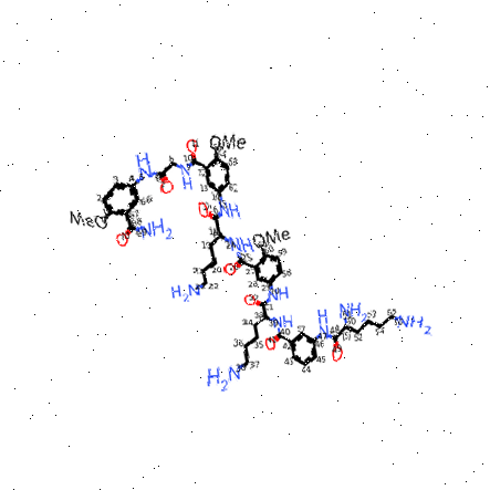 COc1ccc(NC(=O)CNC(=O)c2cc(NC(=O)[C@H](CCCCN)NC(=O)c3cc(NC(=O)[C@H](CCCCN)NC(=O)c4cccc(NC(=O)[C@@H](N)CCCCN)c4)ccc3OC)ccc2OC)cc1C(N)=O